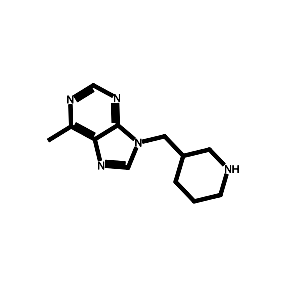 Cc1ncnc2c1ncn2CC1CCCNC1